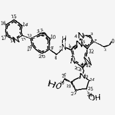 CCc1cnn2c(NCc3ccc(-c4ccccn4)cc3)nc(N3C[C@H](O)C[C@H]3CO)nc12